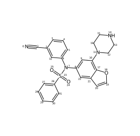 N#Cc1cccc(N(c2cc(N3CCNCC3)c3occc3c2)S(=O)(=O)c2ccccc2)c1